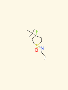 CCCN=S1(=O)CCC(F)(C(C)(C)C)CC1